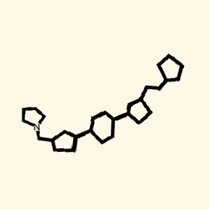 C1CCC(CCC2CCC(C3CCC(C4CCC(CN5CCCC5)C4)CC3)C2)C1